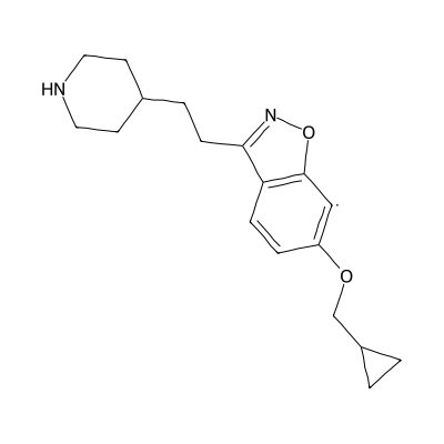 [c]1c(OCC2CC2)ccc2c(CCC3CCNCC3)noc12